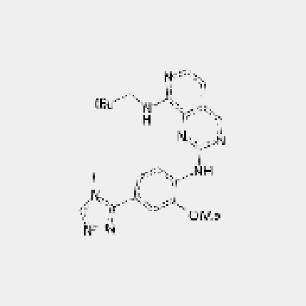 COc1cc(-c2nncn2C)ccc1Nc1ncc2ccnc(NCC(C)(C)C)c2n1